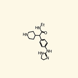 CCNC(=O)C(c1ccc(NC2=NCCN2)cc1)C1CCNCC1